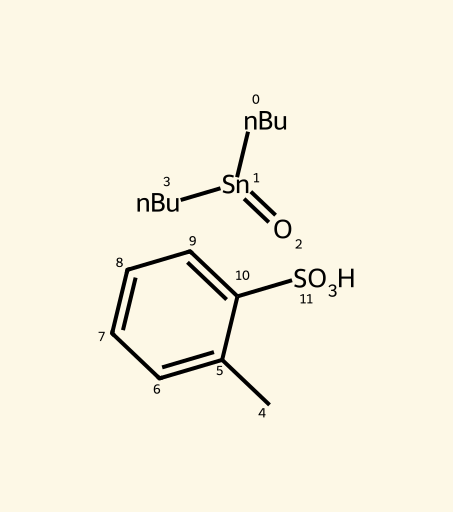 CCC[CH2][Sn](=[O])[CH2]CCC.Cc1ccccc1S(=O)(=O)O